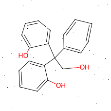 OCC(c1ccccc1)(c1ccccc1O)c1ccccc1O